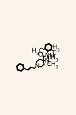 Cc1cccc(C)c1NC(=O)C1(N(C)C)CCN(C/C=C/c2ccccc2)CC1